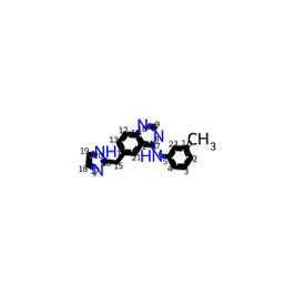 Cc1cccc(Nc2ncnc3ccc(Cc4ncc[nH]4)cc23)c1